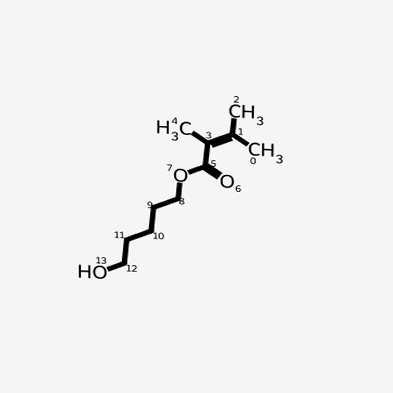 CC(C)=C(C)C(=O)OCCCCCO